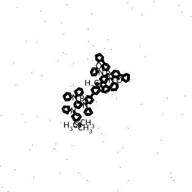 C[Si](C)(C)c1ccc(N(c2ccccc2)c2cc3c4c(c2)N(c2ccccc2)c2ccc(-c5ccc([Si](C)(c6ccccc6)c6cc7c8c(c6)N(c6ccccc6)c6c(ccc9c6oc6ccccc69)B8c6ccc8c(oc9ccccc98)c6N7c6ccccc6)cc5)cc2B4c2ccccc2N3c2ccccc2)cc1